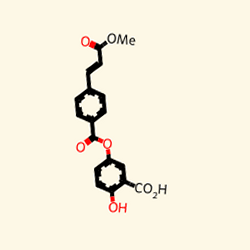 COC(=O)C=Cc1ccc(C(=O)Oc2ccc(O)c(C(=O)O)c2)cc1